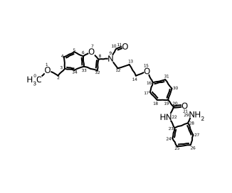 COCc1ccc2oc(N(C=O)CCCOc3ccc(C(=O)Nc4ccccc4N)cc3)cc2c1